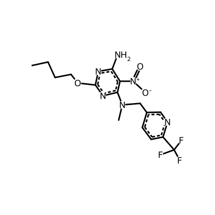 CCCCOc1nc(N)c([N+](=O)[O-])c(N(C)Cc2ccc(C(F)(F)F)nc2)n1